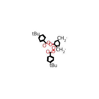 [CH2]C1CCC([CH2])(OOC(=O)c2ccc(C(C)(C)C)cc2)C(OOC(=O)c2ccc(C(C)(C)C)cc2)C1